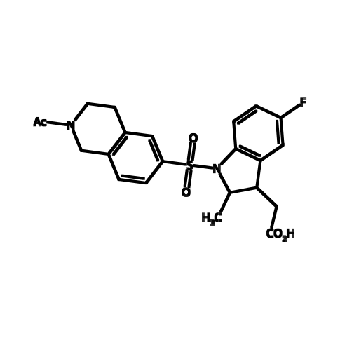 CC(=O)N1CCc2cc(S(=O)(=O)N3c4ccc(F)cc4C(CC(=O)O)C3C)ccc2C1